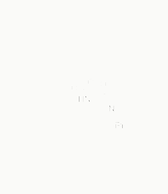 C[C](C)CN1CC(=O)[C@@H](NC(=O)OCc2ccccc2)C1